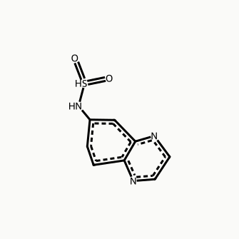 O=[SH](=O)Nc1ccc2nccnc2c1